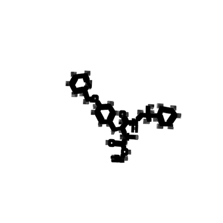 CN(C(=O)OC(C)(C)C)[C@@H](Cc1ccc(OCc2ccccn2)cc1)C(=O)NCC(C)(C)c1ccccc1